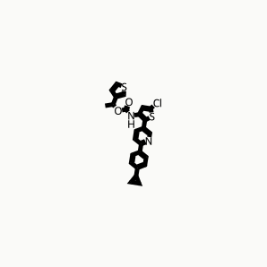 CC(OC(=O)Nc1cc(Cl)sc1-c1ccc(-c2ccc(C3CC3)cc2)nc1)c1ccsc1